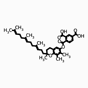 CC(C)=CCC/C(C)=C/CC/C(C)=C/CC[C@]1(C)CCc2cc(OC(=O)c3ccc(C(=O)O)cc3C(=O)O)c(C)c(C)c2O1